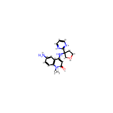 Cn1c(=O)cc(NC2(c3ncccn3)CCOC2)c2cc(N)ccc21